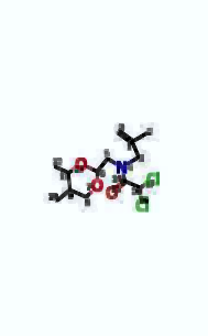 C=C(C)CN(CC1OCC(C)C(C)O1)C(=O)C(Cl)Cl